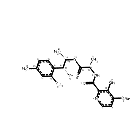 COc1ccnc(C(=O)N[C@@H](C)C(=O)O[C@@H](C)[C@@H](c2ccc(C)cc2C)C(C)C)c1O